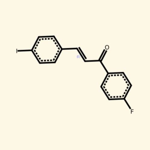 O=C(/C=C/c1ccc(I)cc1)c1ccc(F)cc1